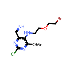 COc1nc(Cl)nc(C=N)c1NCCOCCBr